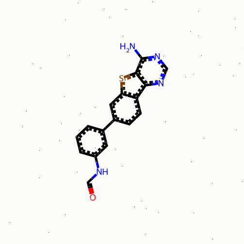 Nc1ncnc2c1sc1cc(-c3cccc(NC=O)c3)ccc12